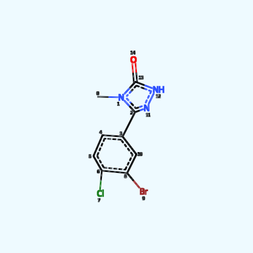 Cn1c(-c2ccc(Cl)c(Br)c2)n[nH]c1=O